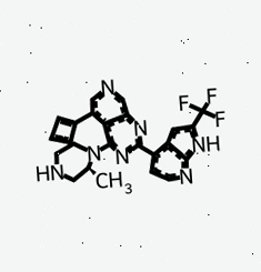 C[C@H]1CNCCN1c1nc(-c2ccnc3[nH]c(C(F)(F)F)cc23)nc2cncc(C3=CC=C3)c12